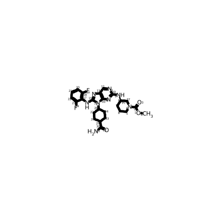 COC(=O)N1CCC[C@@H](Nc2ncc3nc(Nc4c(F)cccc4F)n(C4CCC(C(N)=O)CC4)c3n2)C1